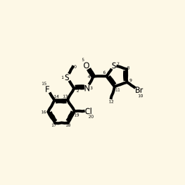 CSC(=NC(=O)c1scc(Br)c1C)c1c(F)cccc1Cl